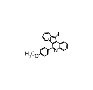 COc1ccc(-c2nc3ccccc3c3c(I)c4ccccn4c23)cc1